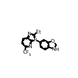 CCc1nc2ccc(C(F)(F)F)nc2n1-c1ccc2c(c1)OCN2